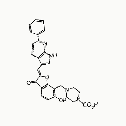 O=C1C(=Cc2c[nH]c3nc(-c4ccccc4)ccc23)Oc2c1ccc(O)c2CN1CCN(C(=O)O)CC1